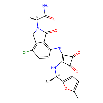 CC[C@@H](C(N)=O)N1Cc2c(Cl)ccc(Nc3c(N[C@@H](c4ccc(C)o4)C(C)(C)C)c(=O)c3=O)c2C1=O